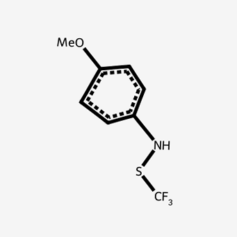 COc1ccc(NSC(F)(F)F)cc1